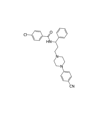 N#Cc1ccc(N2CCN(CCC(NC(=O)c3ccc(Cl)cc3)c3ccccc3)CC2)cc1